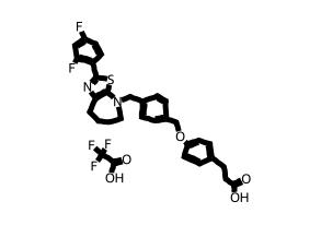 O=C(O)C(F)(F)F.O=C(O)CCc1ccc(OCc2ccc(CN3CCCCc4nc(-c5ccc(F)cc5F)sc43)cc2)cc1